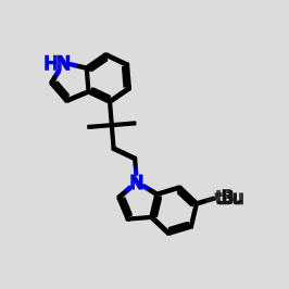 CC(C)(C)c1ccc2ccn(CCC(C)(C)c3cccc4[nH]ccc34)c2c1